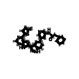 O=C(Cc1ccccc1)Nc1cncc(-c2cc3c(-c4nc5c(-c6ccc(F)s6)nccc5[nH]4)n[nH]c3cn2)c1